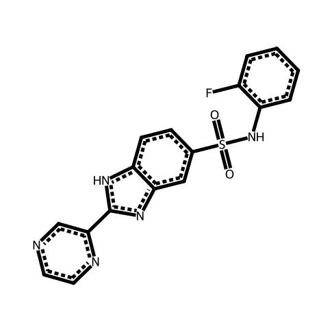 O=S(=O)(Nc1ccccc1F)c1ccc2[nH]c(-c3cnccn3)nc2c1